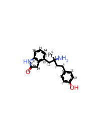 CCCC(N)(CCc1ccc(O)cc1)Cc1cccc2c1CC(=O)N2